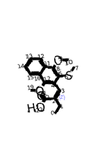 CC/C(=C/c1c(SC)c(OC)c2ccccc2c1OC)C(=O)O